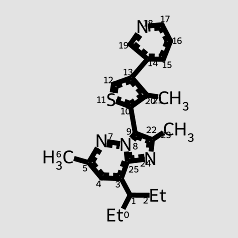 CCC(CC)c1cc(C)nn2c(-c3scc(-c4cccnc4)c3C)c(C)nc12